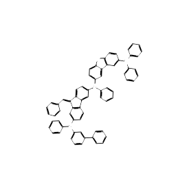 C(=C1/c2cc(N(c3ccccc3)c3cccc(-c4ccccc4)c3)ccc2-c2cc(N(c3ccccc3)c3ccc4sc5ccc(N(c6ccccc6)c6ccccc6)cc5c4c3)ccc21)/c1ccccc1